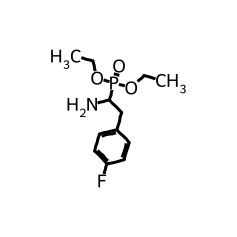 CCOP(=O)(OCC)C(N)Cc1ccc(F)cc1